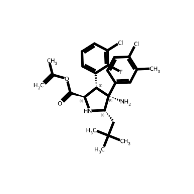 C=C(C)OC(=O)[C@@H]1N[C@@H](CC(C)(C)C)[C@](N)(c2ccc(Cl)c(C)c2)[C@H]1c1cccc(Cl)c1F